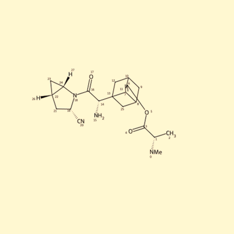 CN[C@@H](C)C(=O)OC1=C2C3CC(C1)CC2([C@H](N)C(=O)N1[C@H](C#N)C[C@@H]2C[C@@H]21)C3